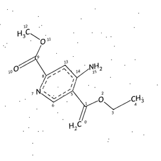 C=C(OCC)c1cnc(C(=O)OC)cc1N